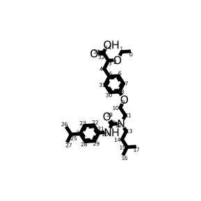 CCOC(Cc1ccc(OCCN(CCC(C)C)C(=O)Nc2ccc(C(C)C)cc2)cc1)C(=O)O